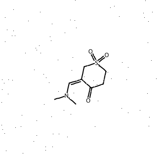 CN(C)/C=C1/CS(=O)(=O)CCC1=O